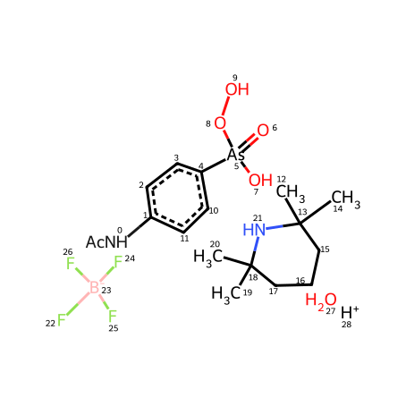 CC(=O)Nc1ccc([As](=O)(O)OO)cc1.CC1(C)CCCC(C)(C)N1.F[B-](F)(F)F.O.[H+]